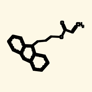 C=CC(=O)OCCCc1c2ccccc2cc2ccccc12